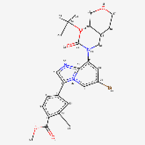 COC(=O)c1ccc(-c2cnc3c(N(CC4CCOCC4)C(=O)OC(C)(C)C)cc(Br)cn23)cc1C